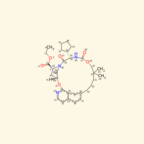 CCOC(=O)[C@@H]1C[C@H]2Oc3nccc4ccc(cc34)CCCC(C)(C)COC(=O)N[C@@H](C3CCCC3)C(=O)N1C2I